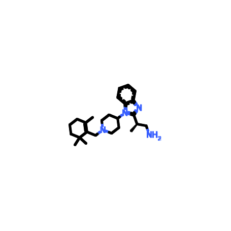 CC1=C(CN2CCC(n3c([C@H](C)CN)nc4ccccc43)CC2)C(C)(C)CCC1